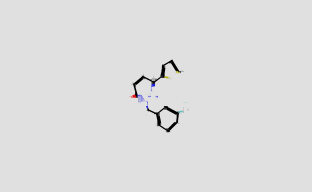 O=c1ccc(-c2cccs2)nn1Cc1cccc(F)c1